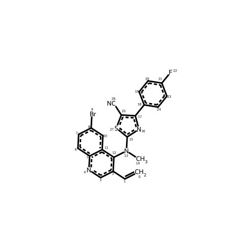 C=Cc1cnc2ccc(Br)cc2c1N(C)c1nc(-c2ccc(F)cc2)c(C#N)s1